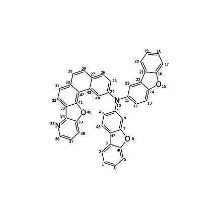 c1ccc2c(c1)oc1cc(N(c3ccc4oc5ccccc5c4c3)c3ccc4ccc5ccc6c7ncccc7oc6c5c4c3)ccc12